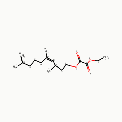 CCOC(=O)C(=O)OCCC(C)C=C(C)CCCC(C)C